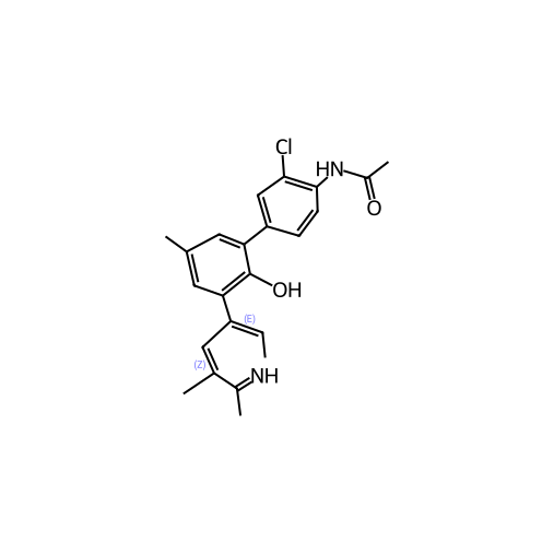 C/C=C(\C=C(\C)C(C)=N)c1cc(C)cc(-c2ccc(NC(C)=O)c(Cl)c2)c1O